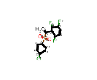 C=C(c1c(F)ccc(F)c1F)S(=O)(=O)c1ccc(Cl)cc1